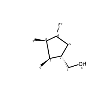 C[C@@H]1[C@@H](CO)C[C@@H](C)[C@@H]1C